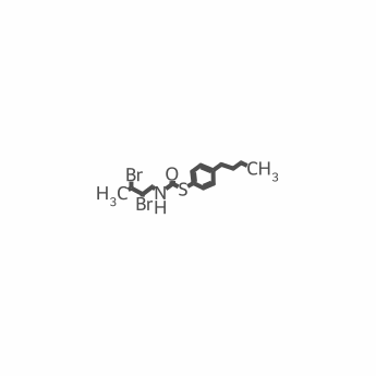 CCCCc1ccc(SC(=O)NCC(Br)C(C)Br)cc1